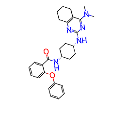 CN(C)c1nc(N[C@H]2CC[C@@H](NC(=O)c3ccccc3Oc3ccccc3)CC2)nc2c1CCCC2